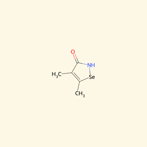 Cc1[se][nH]c(=O)c1C